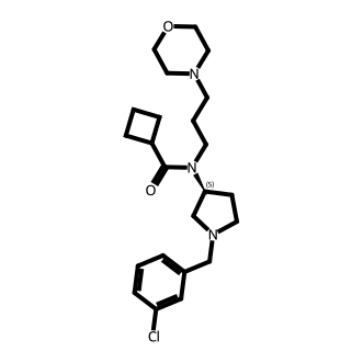 O=C(C1CCC1)N(CCCN1CCOCC1)[C@H]1CCN(Cc2cccc(Cl)c2)C1